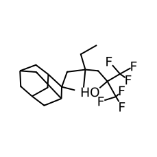 CCC(C)(CC1(C)C2CC3CC(C2)CC1C3)CC(O)(C(F)(F)F)C(F)(F)F